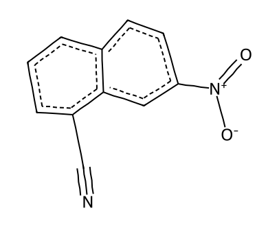 N#Cc1cccc2ccc([N+](=O)[O-])cc12